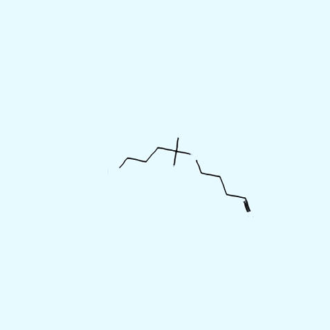 CCCCC(C)(C)OCCCC=O